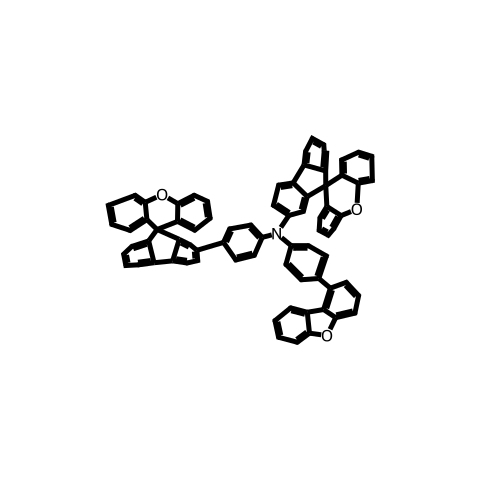 c1ccc2c(c1)Oc1ccccc1C21c2ccccc2-c2ccc(-c3ccc(N(c4ccc(-c5cccc6oc7ccccc7c56)cc4)c4ccc5c(c4)C4(c6ccccc6Oc6ccccc64)c4ccccc4-5)cc3)cc21